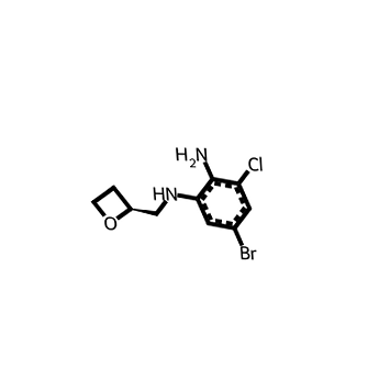 Nc1c(Cl)cc(Br)cc1NC[C@@H]1CCO1